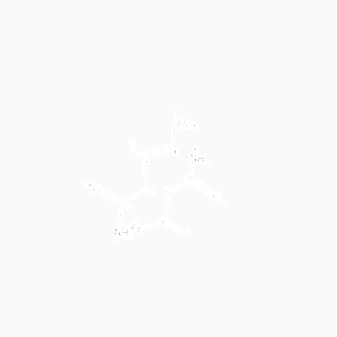 C=C(CC(N)=O)C(C)C.CCCCCC/C=C(\C)CC(N)=O